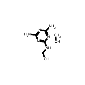 CO.Nc1nc(N)nc(NCO)n1